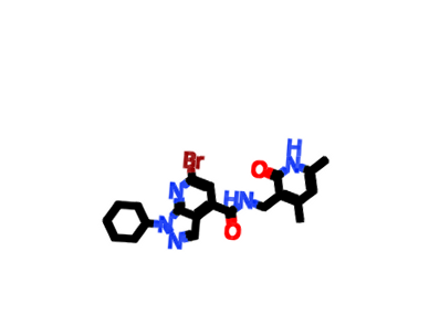 Cc1cc(C)c(CNC(=O)c2cc(Br)nc3c2cnn3C2CCCCC2)c(=O)[nH]1